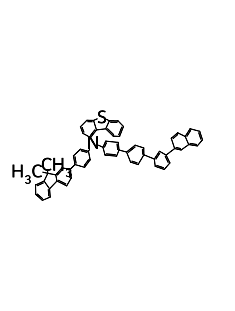 CC1(C)c2ccccc2-c2ccc(-c3ccc(N(c4ccc(-c5ccc(-c6cccc(-c7ccc8ccccc8c7)c6)cc5)cc4)c4cccc5sc6ccccc6c45)cc3)cc21